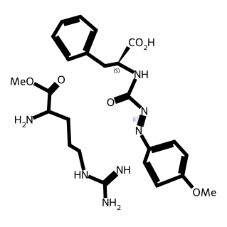 COC(=O)C(N)CCCNC(=N)N.COc1ccc(/N=N/C(=O)N[C@@H](Cc2ccccc2)C(=O)O)cc1